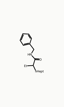 CCCCCCCC(CC)C(=O)NCc1ccccc1